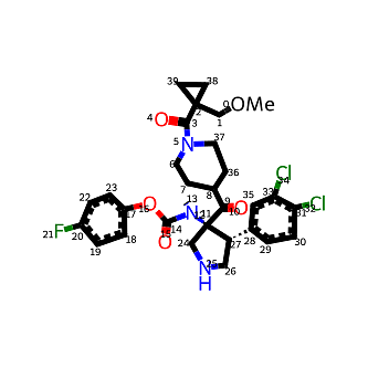 COCC1(C(=O)N2CCC(C(=O)[C@@]3(N(C)C(=O)Oc4ccc(F)cc4)CNC[C@H]3c3ccc(Cl)c(Cl)c3)CC2)CC1